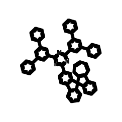 C1=CCC2=C(C=C1)c1ccccc1C21c2ccccc2-c2ccc(-c3nc(-c4cc(-c5ccccc5)cc(-c5ccccc5)c4)nc(-c4cc(-c5ccccc5)cc(-c5ccccc5)c4)n3)cc21